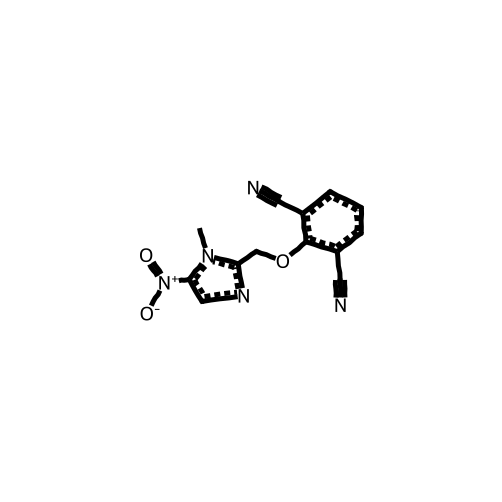 Cn1c([N+](=O)[O-])cnc1COc1c(C#N)cccc1C#N